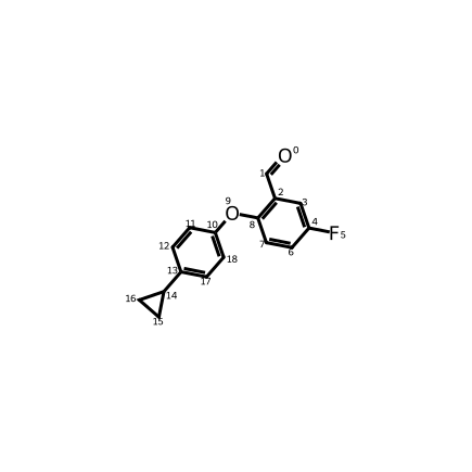 O=Cc1cc(F)ccc1Oc1ccc(C2CC2)cc1